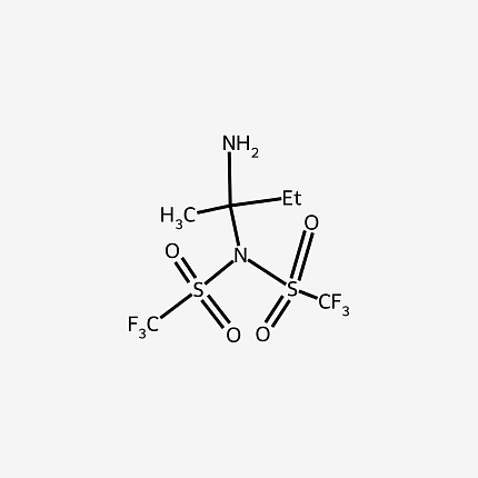 CCC(C)(N)N(S(=O)(=O)C(F)(F)F)S(=O)(=O)C(F)(F)F